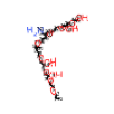 C=CCOCCOCC(O)COCC(O)COCCCC(C)(C)OCCCC(C)(CN)OCCCOCC(O)COCCO